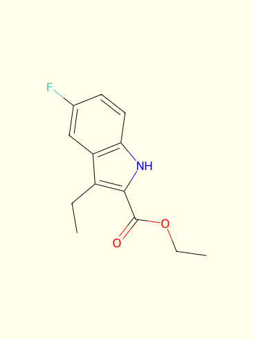 CCOC(=O)c1[nH]c2ccc(F)cc2c1CC